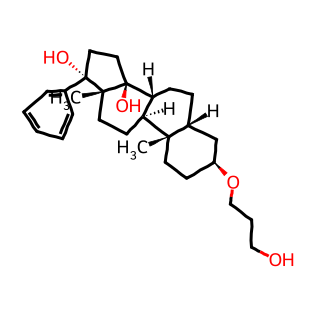 C[C@]12CC[C@H](OCCCO)C[C@H]1CC[C@@H]1[C@@H]2CC[C@]2(C)[C@@](O)(c3ccccc3)CC[C@]12O